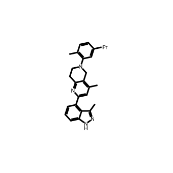 Cc1ccc(C(C)C)cc1N1CCc2nc(-c3cccc4[nH]nc(C)c34)cc(C)c2C1